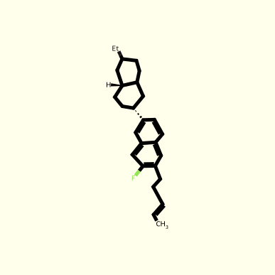 C/C=C/CCc1cc2ccc([C@@H]3CC[C@@H]4CC(CC)CCC4C3)cc2cc1F